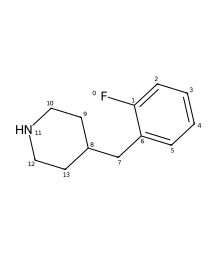 Fc1ccccc1CC1CCNCC1